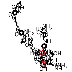 C=C1C[C@H]2C=Nc3cc(OCCCCCOc4cc(N)c(C(=O)N5CC(=C)C[C@H]5C5OCCN5C(=O)OCC(C)SSC[C@H](NC(=O)[C@H](CC(=O)O)NC(=O)[C@H](CC(=O)O)NC(=O)[C@H](CCCNC(=N)N)NC(=O)[C@H](CC(=O)O)NC(=O)CC[C@H](NC(=O)c5ccc(NCc6cnc7nc(N)[nH]c(=O)c7n6)cc5)C(=O)O)C(=O)O)cc4OC)c(OC)cc3C(=O)N2C1